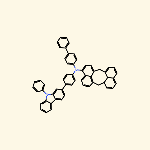 C1=CC2=CC=CC3Cc4cccc5c(N(c6ccc(-c7ccccc7)cc6)c6ccc(-c7ccc8c9ccccc9n(-c9ccccc9)c8c7)cc6)ccc(c45)CC(=C1)C23